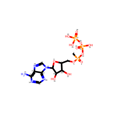 CP(=O)(OCC1OC(n2cnc3c(N)ncnc32)C(O)C1O)OP(=O)(O)OP(=O)(O)O